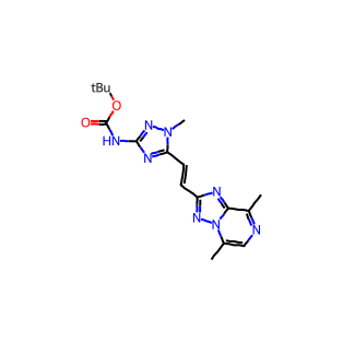 Cc1ncc(C)n2nc(C=Cc3nc(NC(=O)OC(C)(C)C)nn3C)nc12